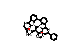 c1ccc(-c2cnc3c(n2)c2cccc4c5cccc6c7nccnc7n(c(=C(c7nnco7)c7nnco7)n3c42)c56)cc1